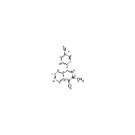 Cn1nc(-c2ccc(N)cc2)c2ccccc2c1=O